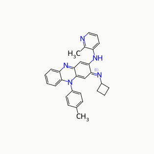 Cc1ccc(-n2c3c/c(=N\C4CCC4)c(Nc4cccnc4C)cc-3nc3ccccc32)cc1